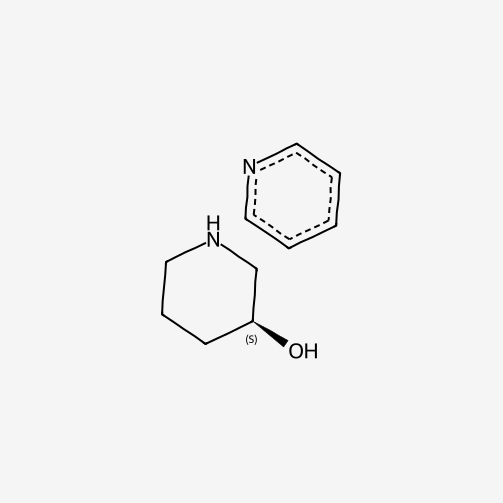 O[C@H]1CCCNC1.c1ccncc1